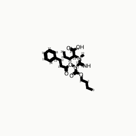 CCCCOC(=O)N(OC(=O)CCc1ccccc1)C(=N)N(C)C(CCC)C(=O)O